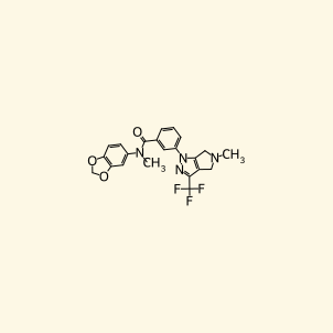 CN1Cc2c(C(F)(F)F)nn(-c3cccc(C(=O)N(C)c4ccc5c(c4)OCO5)c3)c2C1